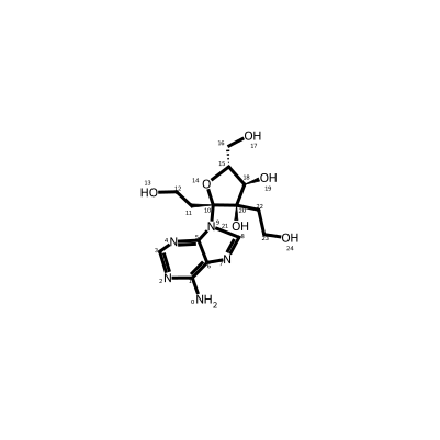 Nc1ncnc2c1ncn2[C@]1(CCO)O[C@H](CO)[C@@H](O)[C@]1(O)CCO